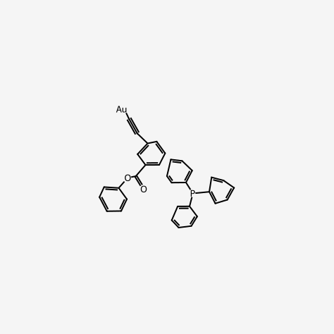 O=C(Oc1ccccc1)c1cccc(C#[C][Au])c1.c1ccc(P(c2ccccc2)c2ccccc2)cc1